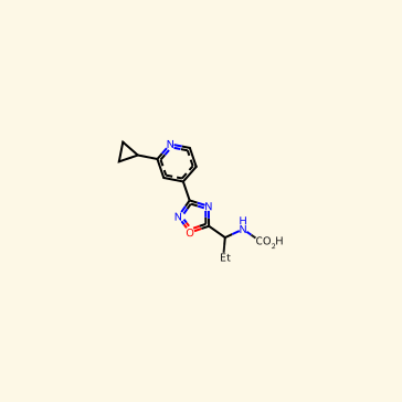 CCC(NC(=O)O)c1nc(-c2ccnc(C3CC3)c2)no1